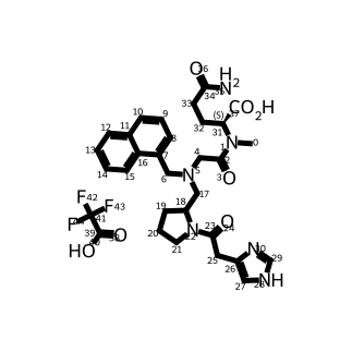 CN(C(=O)CN(Cc1cccc2ccccc12)CC1CCCN1C(=O)Cc1c[nH]cn1)[C@@H](CCC(N)=O)C(=O)O.O=C(O)C(F)(F)F